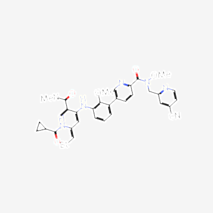 C=C(C(=O)NC)/C(=C\C(=C\CC)NC(=O)C1CC1)Nc1cccc(-c2ccc(C(=O)N(Cc3cc(C#N)ccn3)OC)nc2)c1OC